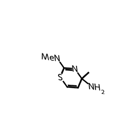 CNC1=NC(C)(N)C=CS1